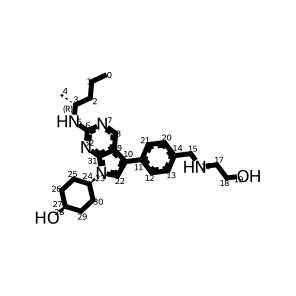 CCC[C@@H](C)Nc1ncc2c(-c3ccc(CNCCO)cc3)cn([C@H]3CC[C@H](O)CC3)c2n1